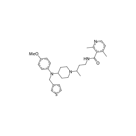 COc1ccc(N(Cc2ccsc2)C2CCN(C(C)CCNC(=O)c3c(C)ccnc3C)CC2)cc1